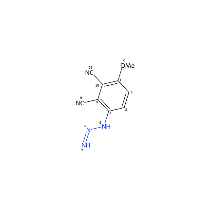 COc1ccc(NN=N)c(C#N)c1C#N